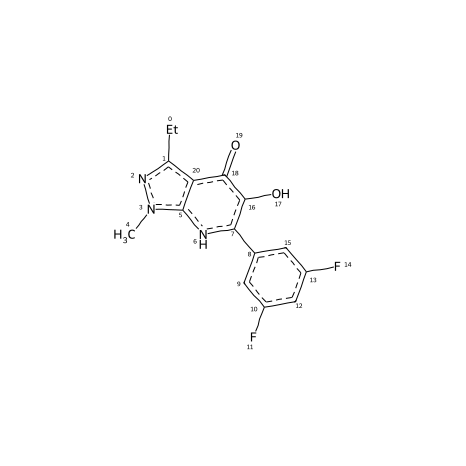 CCc1nn(C)c2[nH]c(-c3cc(F)cc(F)c3)c(O)c(=O)c12